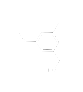 CSc1cc(C)cc(CO)c1